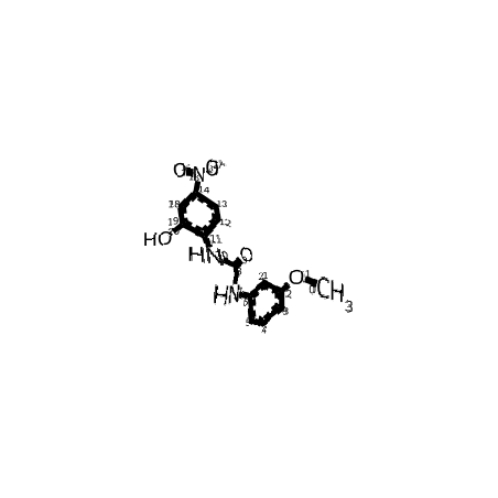 COc1cccc(NC(=O)Nc2ccc([N+](=O)[O-])cc2O)c1